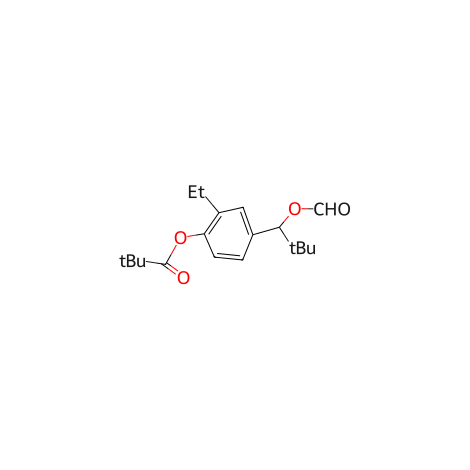 CCc1cc(C(OC=O)C(C)(C)C)ccc1OC(=O)C(C)(C)C